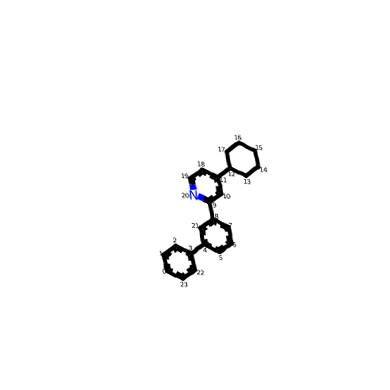 c1ccc(-c2cccc(-c3cc(C4CCCCC4)ccn3)c2)cc1